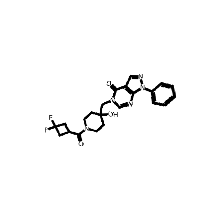 O=C(C1CC(F)(F)C1)N1CCC(O)(Cn2cnc3c(cnn3-c3ccccc3)c2=O)CC1